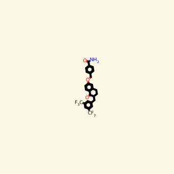 NC(=O)c1ccc(COc2ccc3c(c2)CCC(Cc2cc(C(F)(F)F)cc(C(F)(F)F)c2)C3=O)cc1